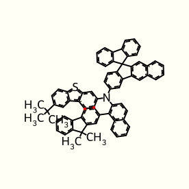 CC(C)(C)c1ccc2sc3cc(N(c4ccc5c(c4)-c4cc6ccccc6cc4C54c5ccccc5-c5ccccc54)c4ccc5ccccc5c4-c4ccc5c(c4)C(C)(C)c4ccccc4-5)ccc3c2c1